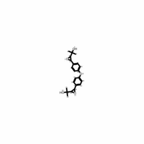 CC(C)(O)C1OC1c1ccc(Oc2ccc(C3OC3C(C)(C)O)cc2)cc1